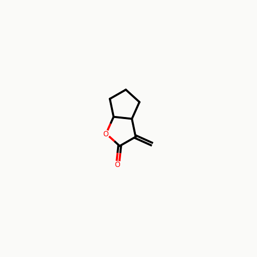 C=C1C(=O)OC2CCCC12